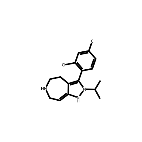 CC(C)N1NC2=CCNCCC2=C1c1ccc(Cl)cc1Cl